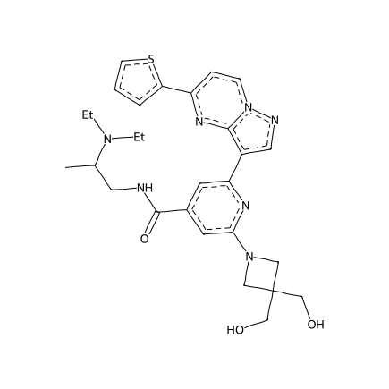 CCN(CC)C(C)CNC(=O)c1cc(-c2cnn3ccc(-c4cccs4)nc23)nc(N2CC(CO)(CO)C2)c1